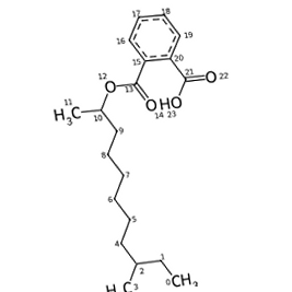 CCC(C)CCCCCCC(C)OC(=O)c1ccccc1C(=O)O